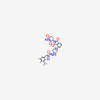 Cc1cc(CNC(=O)NC2CCN(c3cccc4c3C(=O)N(C3CCC(=O)NC3=O)C4=O)CC2)cc(C(C)C)c1C